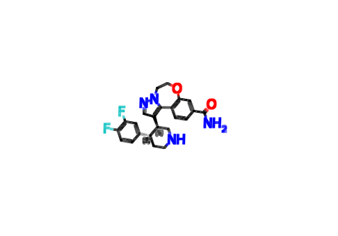 NC(=O)c1ccc2c(c1)OCCn1ncc([C@H]3CNCC[C@@H]3c3ccc(F)c(F)c3)c1-2